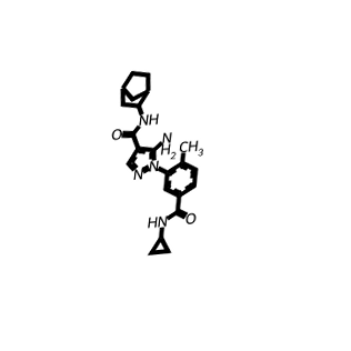 Cc1ccc(C(=O)NC2CC2)cc1-n1ncc(C(=O)NC2CC3CCC2C3)c1N